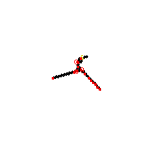 CCCCCCCCCCCCCCCCCCOc1cc(/C=C/C(=O)c2ccc(SCCCC)cc2)cc(OCCCCCCCCCCCCCCCCCC)c1